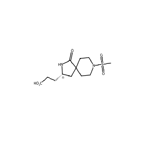 CS(=O)(=O)N1CCC2(CC1)C[C@H](CCC(=O)O)NC2=O